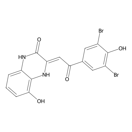 O=C1Nc2cccc(O)c2N/C1=C\C(=O)c1cc(Br)c(O)c(Br)c1